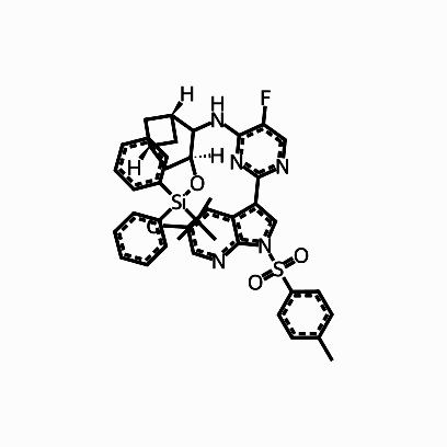 Cc1ccc(S(=O)(=O)n2cc(-c3ncc(F)c(NC4[C@H]5C[C@@H](C[C@@H]4O[Si](c4ccccc4)(c4ccccc4)C(C)(C)C)C5)n3)c3cc(Cl)cnc32)cc1